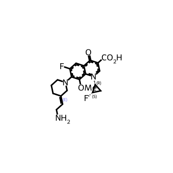 COc1c(N2CCC/C(=C\CN)C2)c(F)cc2c(=O)c(C(=O)O)cn([C@@H]3C[C@@H]3F)c12